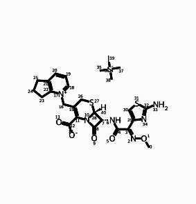 CO/N=C(/C(=O)N[C@@H]1C(=O)N2C(C(=O)[O-])=C(C[n+]3cccc4c3CCC4)CS[C@H]12)c1csc(N)n1.C[Si](C)(C)I